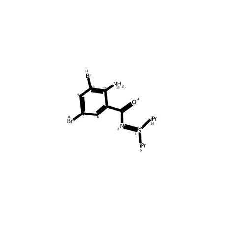 CC(C)S(=NC(=O)c1cc(Br)cc(Br)c1N)C(C)C